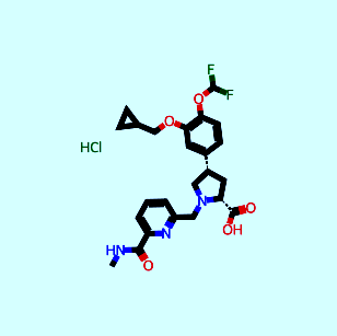 CNC(=O)c1cccc(CN2C[C@H](c3ccc(OC(F)F)c(OCC4CC4)c3)C[C@@H]2C(=O)O)n1.Cl